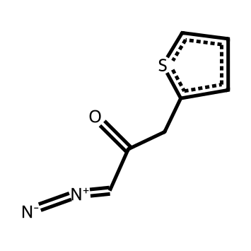 [N-]=[N+]=CC(=O)Cc1cccs1